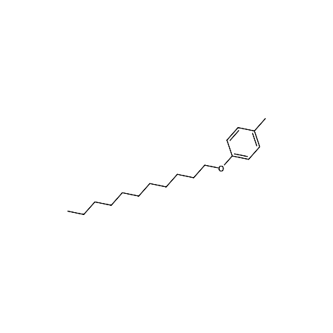 CCCCCCCCCCCOc1ccc(C)cc1